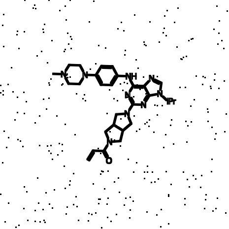 C=CC(=O)N1CC2CN(c3nc(Nc4ccc(N5CCN(C)CC5)cc4)c4ncn(C(C)C)c4n3)CC2C1